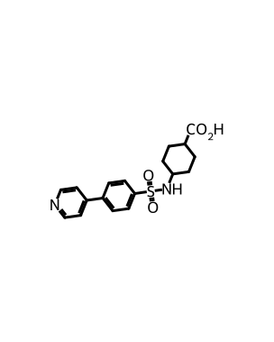 O=C(O)C1CCC(NS(=O)(=O)c2ccc(-c3ccncc3)cc2)CC1